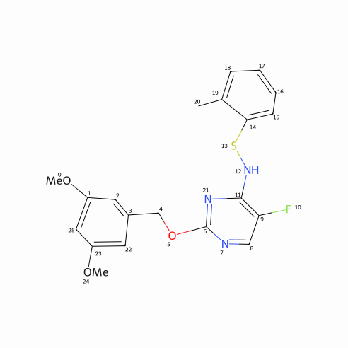 COc1cc(COc2ncc(F)c(NSc3ccccc3C)n2)cc(OC)c1